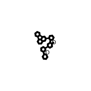 c1ccc2c(c1)-c1cccc3cc(-c4cccc5oc6ccc(-c7cccc8c7oc7ccccc78)cc6c45)cc-2c13